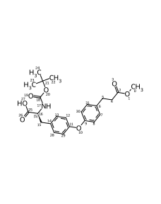 COC(=O)CCc1ccc(Oc2ccc(C[C@H](NC(=O)OC(C)(C)C)C(=O)O)cc2)cc1